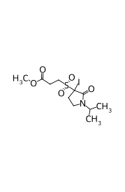 COC(=O)CCS(=O)(=O)C1(I)CCN(C(C)C)C1=O